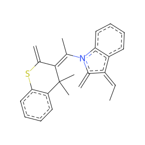 C=C1Sc2ccccc2C(C)(C)/C1=C(/C)n1c(=C)/c(=C\C)c2ccccc21